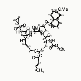 C/C=C/C(=O)OC1CC/C=C\[C@@H]2C[C@@]2(C(=O)NS(=O)(=O)C2CC2)NC(=O)[C@@H]2C[C@@H](Oc3nccc4cc(OC)ccc34)CN2C(=O)[C@@H](NC(=O)OC(C)(C)C)CC1